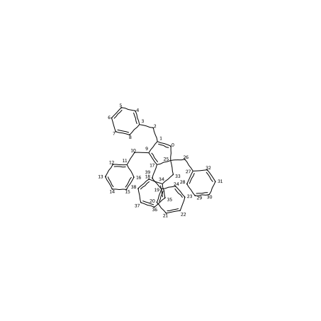 C1=C(Cc2ccccc2)C(Cc2ccccc2)=C(Cc2ccccc2)C1(Cc1ccccc1)Cc1ccccc1